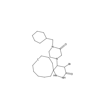 O=C1NNC2(CCCCCCCCC2)C(N2CCN(CC3CCCCC3)C(=O)C2)C1Br